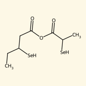 CCC([SeH])CC(=O)OC(=O)C(C)[SeH]